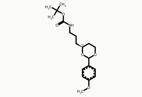 COc1ccc(C2OCC[C@H](CCCNC(=O)OC(C)(C)C)O2)cc1